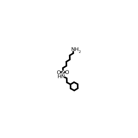 NCCCCCCS(=O)(=O)NCCC1CCCCC1